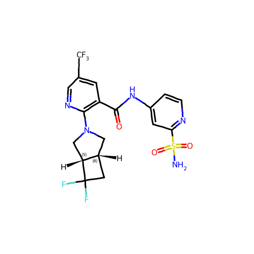 NS(=O)(=O)c1cc(NC(=O)c2cc(C(F)(F)F)cnc2N2C[C@@H]3CC(F)(F)[C@@H]3C2)ccn1